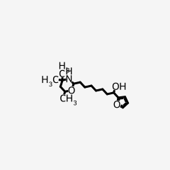 CC1CC(C)(C)NC(CCCCCCC(O)c2ccco2)O1